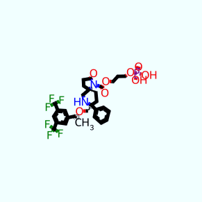 C[C@@H](OC[C@@]1(c2ccccc2)CC[C@]2(CCC(=O)N2C(=O)OCCCOP(=O)(O)O)CN1)c1cc(C(F)(F)F)cc(C(F)(F)F)c1